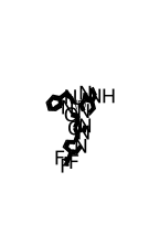 O=C(c1nnc(-c2ccc(C(F)(F)F)cn2)o1)N1CCc2[nH]cnc2[C@@H]1c1ncc2ccccc2n1